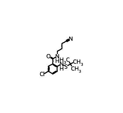 CC(C)(C)SNc1ccc(Cl)cc1C(=O)NCCCC#N